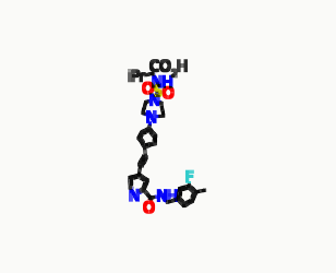 Cc1ccc(CNC(=O)c2cc(C#Cc3ccc(N4CCN(S(=O)(=O)N[C@@H](C(=O)O)C(C)C)CC4)cc3)ccn2)cc1F